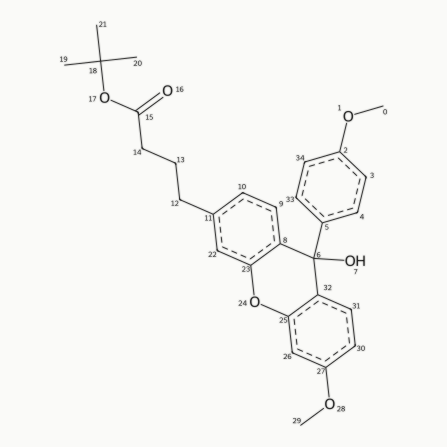 COc1ccc(C2(O)c3ccc(CCCC(=O)OC(C)(C)C)cc3Oc3cc(OC)ccc32)cc1